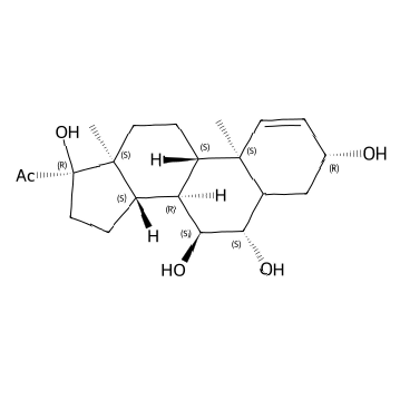 CC(=O)[C@@]1(O)CC[C@H]2[C@@H]3[C@H](O)[C@@H](O)C4C[C@@H](O)C=C[C@]4(C)[C@H]3CC[C@@]21C